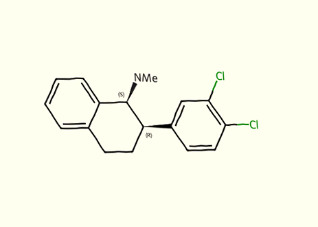 CN[C@@H]1c2ccccc2CC[C@@H]1c1ccc(Cl)c(Cl)c1